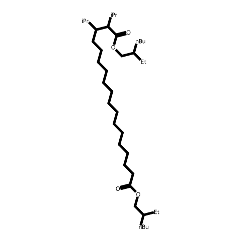 CCCCC(CC)COC(=O)CCCCCCCCCCCCCCC(C(C)C)C(C(=O)OCC(CC)CCCC)C(C)C